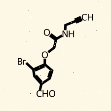 C#CCNC(=O)COc1ccc(C=O)cc1Br